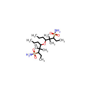 CCCC(OC(CCC)C(C)(C)C(CC)S(N)(=O)=O)C(C)(C)C(CC)S(N)(=O)=O